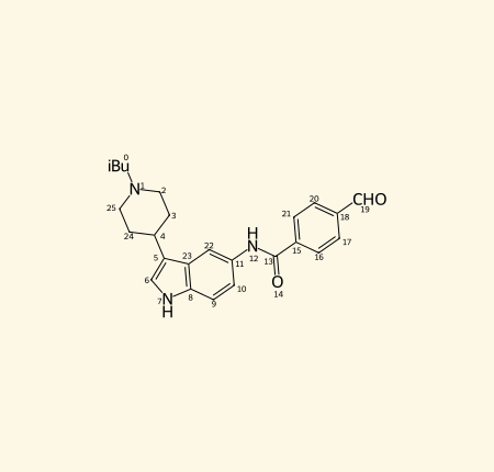 CCC(C)N1CCC(c2c[nH]c3ccc(NC(=O)c4ccc(C=O)cc4)cc23)CC1